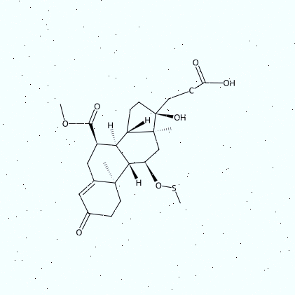 COC(=O)[C@@H]1CC2=CC(=O)CC[C@]2(C)[C@@H]2[C@@H]1[C@@H]1CC[C@](O)(CCC(=O)O)[C@@]1(C)C[C@H]2OSC